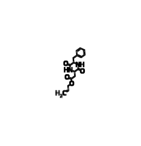 C=CCOC(=O)CC1NC(=O)C(Cc2ccccc2)NC1=O